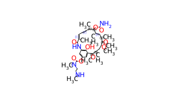 CNCCN(C)C(=O)Oc1cc2c(O)c(c1)[C@H](OC)[C@@H](C)CC(OC)[C@H](OC)[C@@H](C)/C=C(\C)[C@H](OC(N)=O)[C@@H](C)/C=C\C=C(/C)C(=O)N2